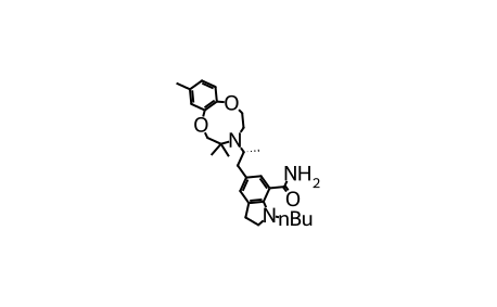 CCCCN1CCc2cc(C[C@@H](C)N3CCOc4ccc(C)cc4OCC3(C)C)cc(C(N)=O)c21